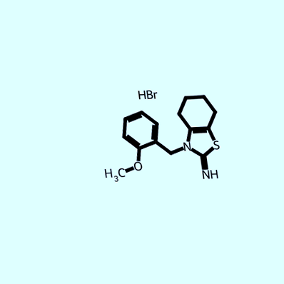 Br.COc1ccccc1Cn1c2c(sc1=N)CCCC2